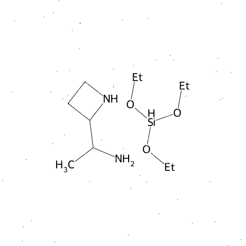 CC(N)C1CCN1.CCO[SiH](OCC)OCC